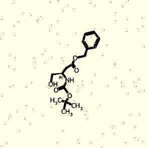 CC(C)(C)OC(=O)N[C@@H](CO)CC(=O)OCc1ccccc1